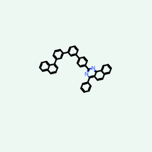 c1ccc(-c2nc(-c3ccc(-c4cccc(-c5cccc(-c6cccc7ccccc67)c5)c4)cc3)nc3c2ccc2ccccc23)cc1